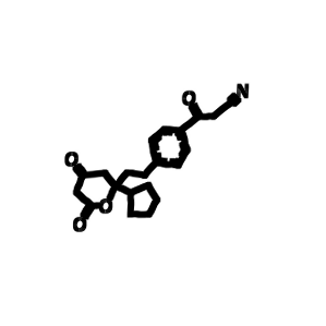 N#CCC(=O)c1ccc(CCC2(C3CCCC3)CC(=O)CC(=O)O2)cc1